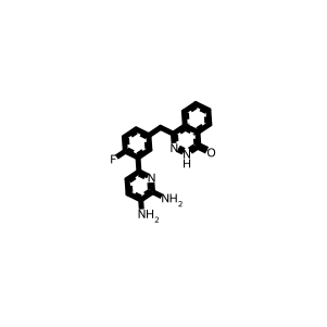 Nc1ccc(-c2cc(Cc3n[nH]c(=O)c4ccccc34)ccc2F)nc1N